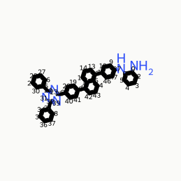 Nc1ccccc1Nc1ccc(-c2cccc3c(-c4ccc(-c5nc(-c6ccccc6)nc(-c6ccccc6)n5)cc4)cccc23)cc1